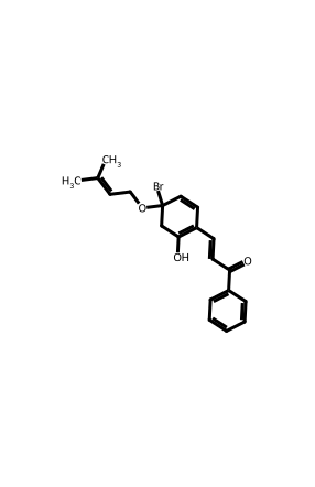 CC(C)=CCOC1(Br)C=CC(C=CC(=O)c2ccccc2)=C(O)C1